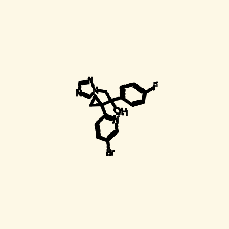 OC(Cn1cncn1)(c1ccc(F)cc1)C1(c2ccc(Br)cn2)CC1